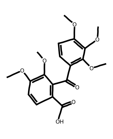 COc1ccc(C(=O)c2c(C(=O)O)ccc(OC)c2OC)c(OC)c1OC